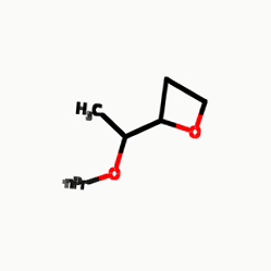 CC[CH]OC(C)C1CCO1